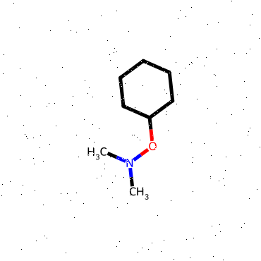 CN(C)OC1CCCCC1